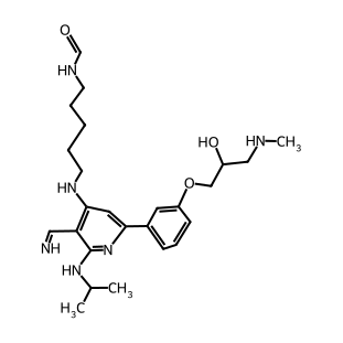 CNCC(O)COc1cccc(-c2cc(NCCCCCNC=O)c(C=N)c(NC(C)C)n2)c1